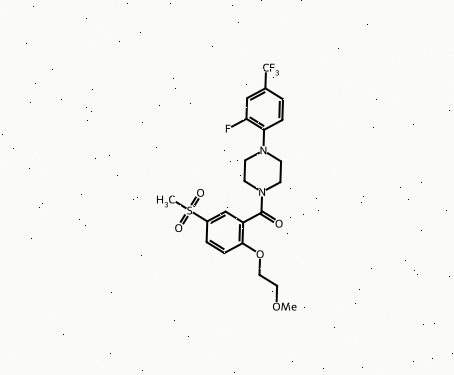 COCCOc1ccc(S(C)(=O)=O)cc1C(=O)N1CCN(c2ccc(C(F)(F)F)cc2F)CC1